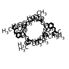 Cc1c[nH]c(C)c1Cc1ccc(C[C@H]2OC(=O)[C@H](CC(C)C)N(C)C(=O)[C@@H](C)OC(=O)[C@H](CC(C)C)N(C)C(=O)[C@@H](Cc3ccc(Cc4c(C)c[nH]c4C)cc3)OC(=O)[C@H](CC(C)C)N(C)C(=O)[C@@H](C)OC(=O)[C@H](CC(C)C)N(C)C2=O)cc1